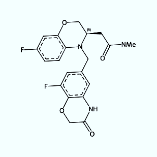 CNC(=O)C[C@@H]1COc2cc(F)ccc2N1Cc1cc(F)c2c(c1)NC(=O)CO2